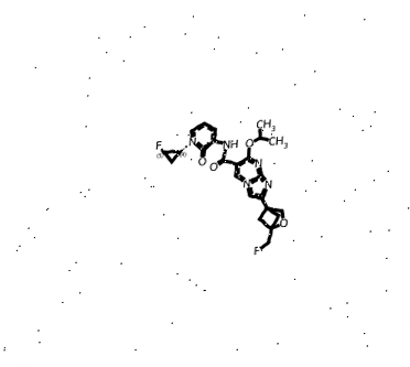 CC(C)Oc1nc2nc(C34COC(CF)(C3)C4)cn2cc1C(=O)Nc1cccn([C@@H]2C[C@@H]2F)c1=O